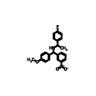 COc1ccc(C(NC(C)c2ccc(F)cc2)c2cccc([N+](=O)[O-])c2)cc1